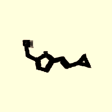 OCc1ccc(C=CC2CC2)s1